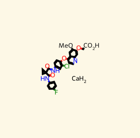 COc1cc2c(Oc3ccc(NC(=O)C4(C(=O)Nc5ccc(F)cc5)CC4)cc3Cl)ccnc2cc1OCC(=O)O.[CaH2]